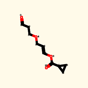 O=CCCOCC=COC(=O)C1CC1